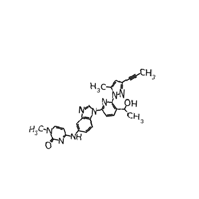 CC#Cc1cc(C)n(-c2nc(-n3cnc4cc(Nc5ccn(C)c(=O)n5)ccc43)ccc2C(C)O)n1